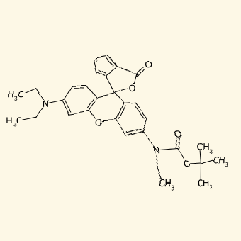 CCN(CC)c1ccc2c(c1)Oc1cc(N(CC)C(=O)OC(C)(C)C)ccc1C21OC(=O)c2ccccc21